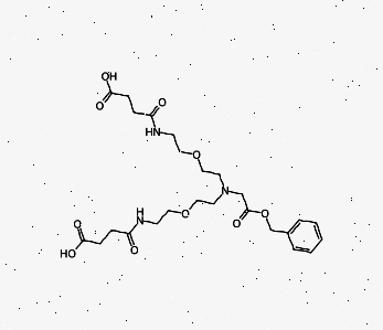 O=C(O)CCC(=O)NCCOCCN(CCOCCNC(=O)CCC(=O)O)CC(=O)OCc1ccccc1